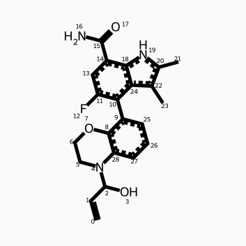 C=CC(O)N1CCOc2c(-c3c(F)cc(C(N)=O)c4[nH]c(C)c(C)c34)cccc21